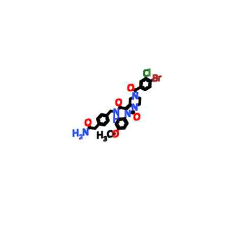 COc1ccc(-n2c(C(=O)NCc3ccc(CC(N)=O)cc3)c3n(c2=O)CCN(C(=O)c2ccc(Br)c(Cl)c2)C3)cc1